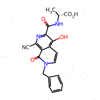 C[C@@H](NC(=O)c1nc(C#N)c2c(=O)n(Cc3ccccc3)ccc2c1O)C(=O)O